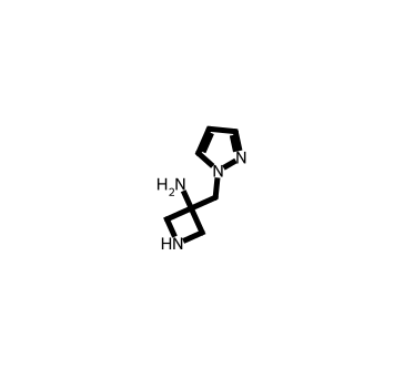 NC1(Cn2cccn2)CNC1